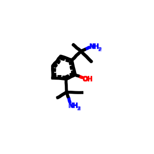 CC(C)(N)c1cccc(C(C)(C)N)c1O